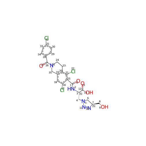 O=C(N[C@@H](CN1C[C@@H](CO)N=N1)C(=O)O)c1c(Cl)cc2c(c1Cl)CCN(C(=O)c1ccc(Cl)cc1)C2